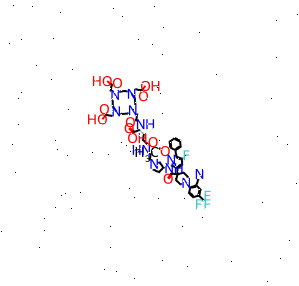 CCOc1ccccc1-c1ncc(C2(C(=O)N[C@@H]3CCN(CCNC(=O)CC[C@@H](NC(=O)CN4CCN(CC(=O)O)CCN(CC(=O)O)CCN(CC(=O)O)CC4)C(=O)O)C3)CCN(c3ccc(C(F)(F)F)cc3C#N)CC2)cc1F